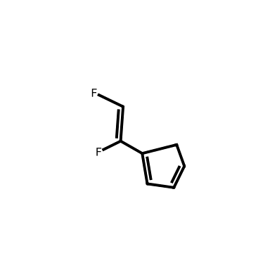 FC=C(F)C1=CC=CC1